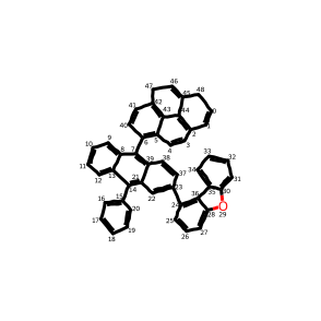 C1=Cc2ccc3c(-c4c5ccccc5c(-c5ccccc5)c5cc(-c6cccc7oc8ccccc8c67)ccc45)ccc4c3c2C(=CC4)C1